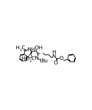 C[C@@H](NC(=O)C(O)[C@H](CCCCNC(=O)OCc1ccccc1)N(C(=O)O)C(C)(C)C)c1ccccc1